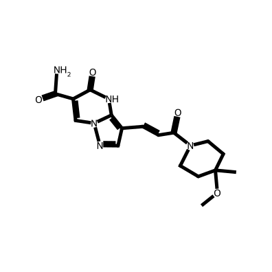 COC1(C)CCN(C(=O)C=Cc2cnn3cc(C(N)=O)c(=O)[nH]c23)CC1